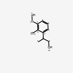 CCCOc1cccc([C](C)CO)c1Cl